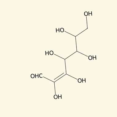 O=C/C(O)=C(/O)C(O)C(O)C(O)CO